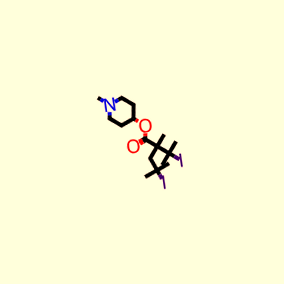 CN1CCC(OC(=O)C(C)(CC(C)(C)I)C(C)(C)I)CC1